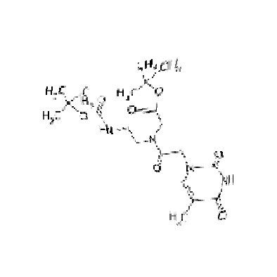 Cc1cn(CC(=O)N(CCNC(=O)OC(C)(C)C)CC(=O)OC(C)(C)C)c(=O)[nH]c1=O